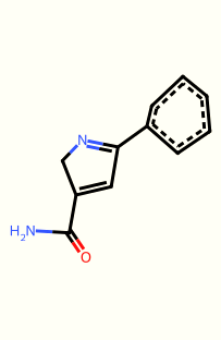 NC(=O)C1=CC(c2ccccc2)=NC1